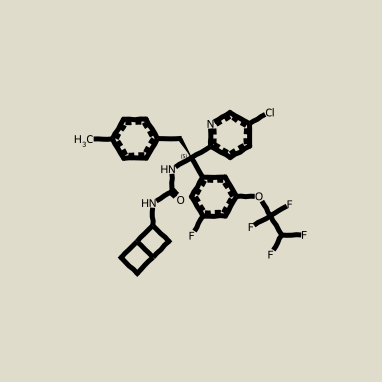 Cc1ccc(C[C@](NC(=O)NC2CC3CCC32)(c2cc(F)cc(OC(F)(F)C(F)F)c2)c2ccc(Cl)cn2)cc1